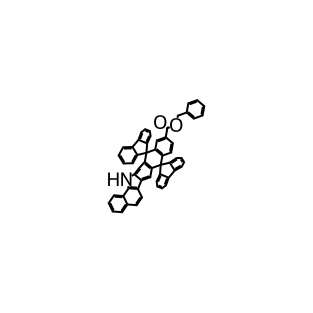 O=C(OCc1ccccc1)c1ccc2c(c1)C1(c3ccccc3-c3ccccc31)c1cc3[nH]c4c5ccccc5ccc4c3cc1C21c2ccccc2-c2ccccc21